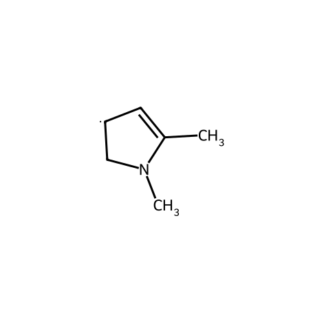 CC1=C[CH]CN1C